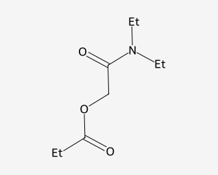 CCC(=O)OCC(=O)N(CC)CC